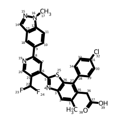 Cc1cc2nc(-c3cc(-c4ccc5c(cnn5C)c4)ncc3C(F)F)sc2c(-c2ccc(Cl)cc2)c1CC(=O)O